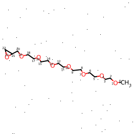 COCCOCCOCCOCCOCCOCCOCC1CO1